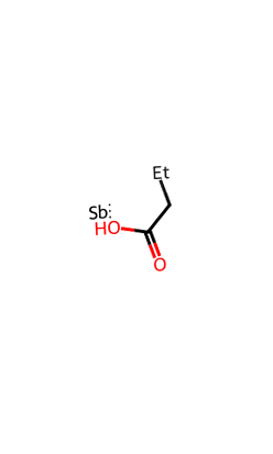 CCCC(=O)O.[Sb]